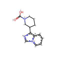 O=C(O)N1CCCC(c2ncn3ccccc23)C1